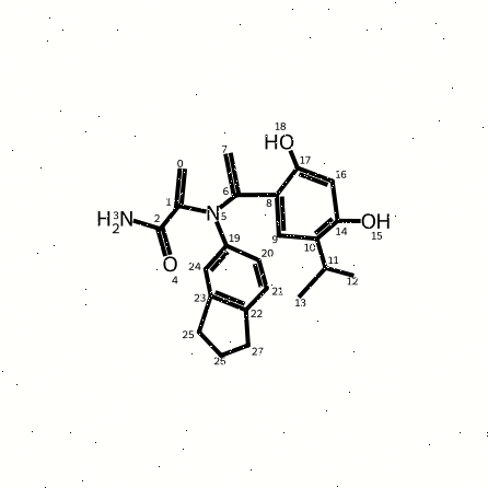 C=C(C(N)=O)N(C(=C)c1cc(C(C)C)c(O)cc1O)c1ccc2c(c1)CCC2